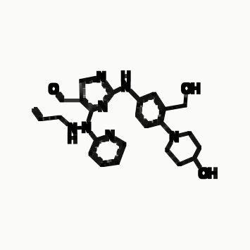 C=CCNN(c1ccccn1)c1nc(Nc2ccc(N3CCC(O)CC3)c(CO)c2)ncc1C=O